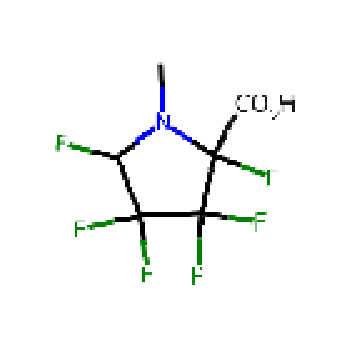 CN1C(F)C(F)(F)C(F)(F)C1(F)C(=O)O